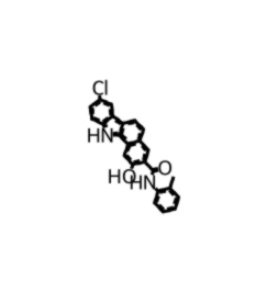 Cc1ccccc1NC(=O)c1cc2ccc3c4cc(Cl)ccc4[nH]c3c2cc1O